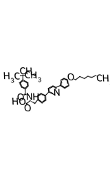 CCCCCCCOc1ccc(-c2ccc(-c3ccc(C[C@H](NC(=O)c4ccc(C(C)(C)C)cc4)C(=O)O)cc3)cn2)cc1